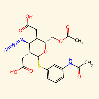 CC(=O)Nc1cccc(SC2O[C@@H](COC(C)=O)[C@H](CC(=O)O)[C@H](N=[N+]=[N-])[C@H]2CC(=O)O)c1